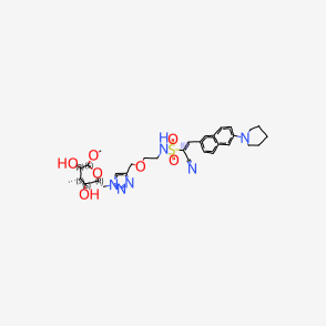 CO[C@H]1O[C@H](Cn2cc(COCCNS(=O)(=O)/C(C#N)=C/c3ccc4cc(N5CCCCC5)ccc4c3)nn2)[C@@H](O)[C@H](C)[C@H]1O